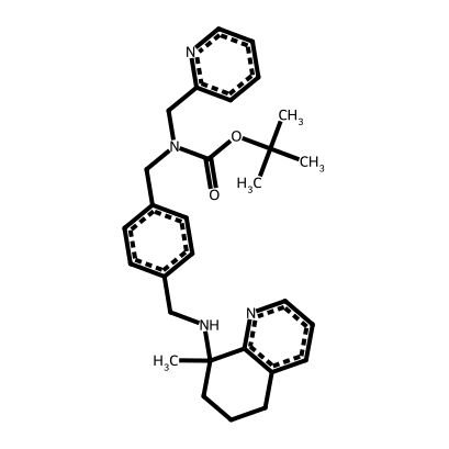 CC(C)(C)OC(=O)N(Cc1ccc(CNC2(C)CCCc3cccnc32)cc1)Cc1ccccn1